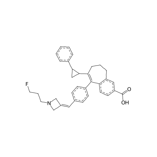 O=C(O)c1ccc2c(c1)CCCC(C1CC1c1ccccc1)=C2c1ccc(C=C2CN(CCCF)C2)cc1